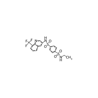 CCNS(=O)(=O)c1ccc(S(=O)(=O)Nc2cnc3c(C(F)(F)F)cccc3c2)cc1